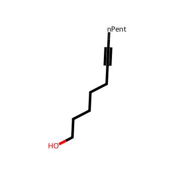 CCCCCC#CCCCCCO